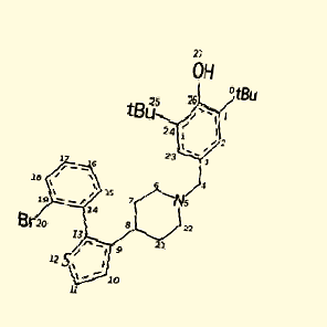 CC(C)(C)c1cc(CN2CCC(c3ccsc3-c3ccccc3Br)CC2)cc(C(C)(C)C)c1O